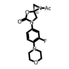 CC(=O)N1C[C@]12CN(c1ccc(N3CCOCC3)c(F)c1)C(=O)O2